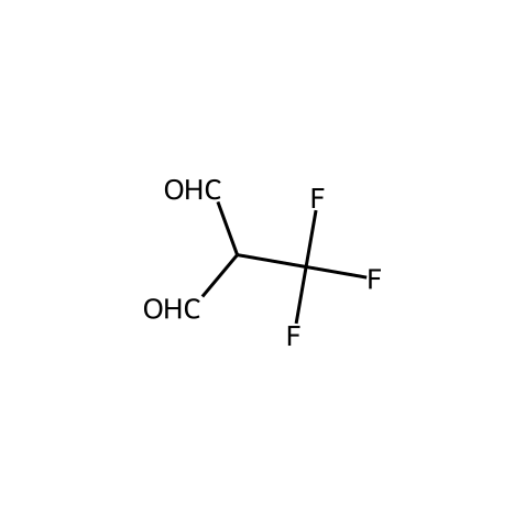 O=CC(C=O)C(F)(F)F